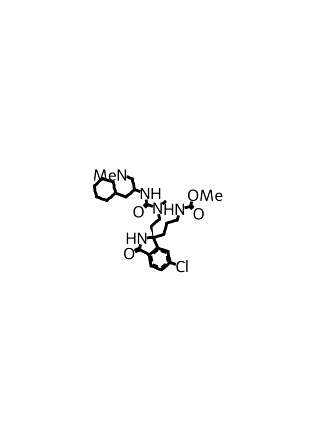 CNCC(CC1CCCCC1)NC(=O)N(C)CC[C@]1(CCCNC(=O)OC)NC(=O)c2ccc(Cl)cc21